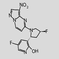 O=[N+]([O-])c1cnn2ccc(N3C[C@@H](F)C[C@@H]3c3cc(F)cnc3O)nc12